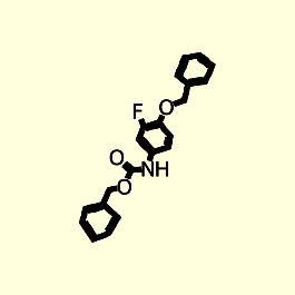 O=C(Nc1ccc(OCc2ccccc2)c(F)c1)OCc1ccccc1